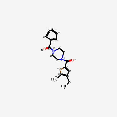 CCc1cc(C(=O)N2CCN(C(=O)c3ccccc3)CC2)sc1C